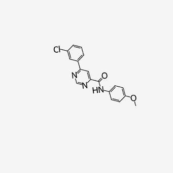 COc1ccc(NC(=O)c2cc(-c3cccc(Cl)c3)ncn2)cc1